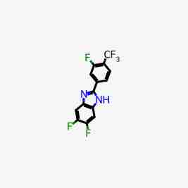 Fc1cc2nc(-c3ccc(C(F)(F)F)c(F)c3)[nH]c2cc1F